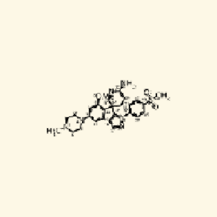 COc1cc(N2CCN(C)CC2)ccc1C1(c2ccnn2-c2ccc(S(C)(=O)=O)cc2)C=NC(N)=CC1